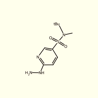 CN(C(C)(C)C)S(=O)(=O)c1ccc(NN)nc1